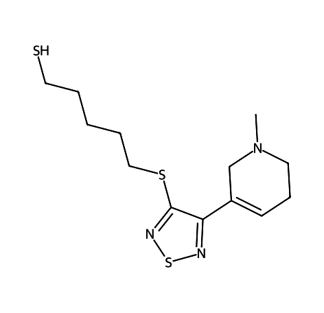 CN1CCC=C(c2nsnc2SCCCCCS)C1